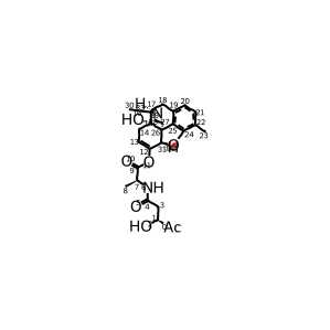 CC(=O)[C@@H](O)CC(=O)N[C@@H](C)C(=O)OC1=CC[C@@]2(O)[C@H]3Cc4ccc(C)c5c4[C@@]2(CCN3C)[C@H]1O5